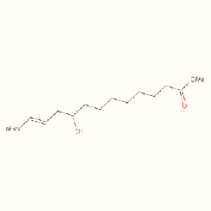 CCCCCC/C=C/CC(S)CCCCCCCC(=O)OC